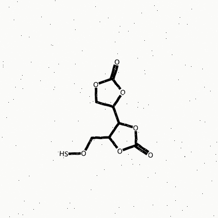 O=C1OCC(C2OC(=O)OC2COS)O1